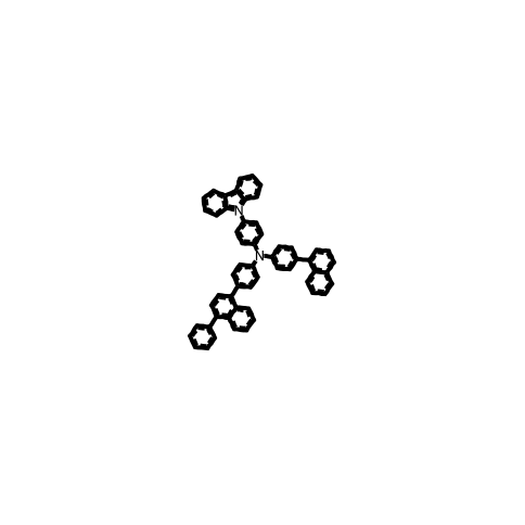 c1ccc(-c2ccc(-c3ccc(N(c4ccc(-c5cccc6ccccc56)cc4)c4ccc(-n5c6ccccc6c6ccccc65)cc4)cc3)c3ccccc23)cc1